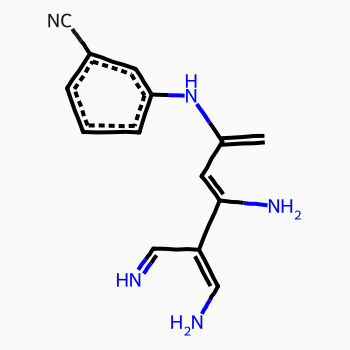 C=C(/C=C(N)/C(C=N)=C/N)Nc1cccc(C#N)c1